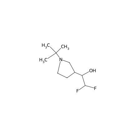 CC(C)(C)N1CCC(C(O)C(F)F)C1